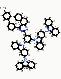 FC(F)(F)c1ccc(-c2cccc(-c3nc(-c4cc(-n5c6ccccc6c6cc(-n7c8ccccc8c8ccccc87)ccc65)cc(-n5c6ccccc6c6cc(-n7c8ccccc8c8ccccc87)ccc65)c4)nc4ccc5ccccc5c34)c2)cc1